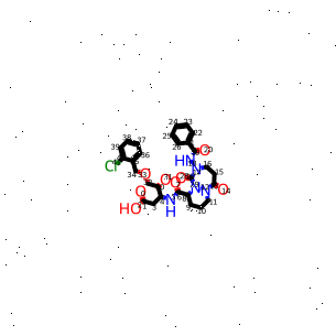 O=C(O)CC(NC(=O)C1CCCN2C(=O)CCN(NC(=O)c3ccccc3)C(=O)N12)C(=O)COCc1ccccc1Cl